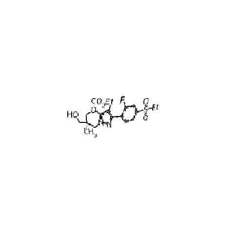 CCOC(=O)c1c(-c2ccc(S(=O)(=O)CC)cc2F)nn2c1OC[C@](C)(CO)C2